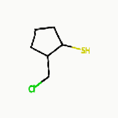 SC1CCCC1CCl